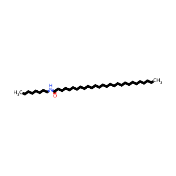 CCCCCCCCCCCCCCCCCCCCCCCCCCCC(=O)NCCCCCCCC